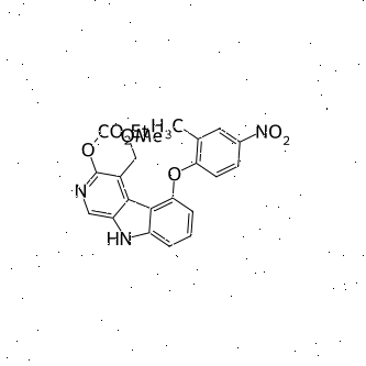 CCOC(=O)Oc1ncc2[nH]c3cccc(Oc4ccc([N+](=O)[O-])cc4C)c3c2c1COC